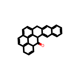 O=C1C2C=CCc3ccc4ccc5c(c4c32)C1c1cc2ccccc2cc1C5